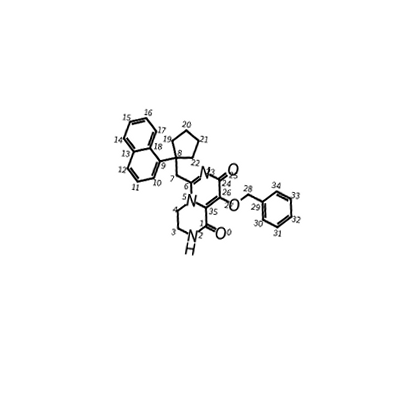 O=C1NCCn2c(CC3(c4cccc5ccccc45)CCCC3)nc(=O)c(OCc3ccccc3)c21